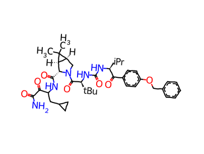 CC(C)[C@H](NC(=O)N[C@H](C(=O)N1C[C@H]2[C@@H]([C@H]1C(=O)NC(CC1CC1)C(=O)C(N)=O)C2(C)C)C(C)(C)C)C(=O)c1ccc(OCc2ccccc2)cc1